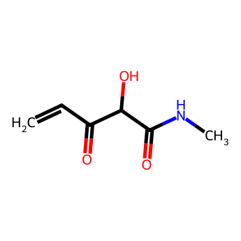 C=CC(=O)C(O)C(=O)NC